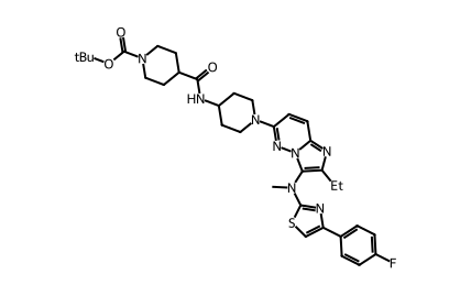 CCc1nc2ccc(N3CCC(NC(=O)C4CCN(C(=O)OC(C)(C)C)CC4)CC3)nn2c1N(C)c1nc(-c2ccc(F)cc2)cs1